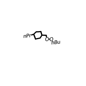 CCCCOOCC1CCC(CCC)CC1